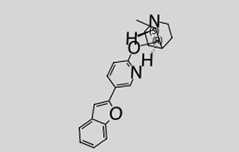 C[C@H]1[C@H](Oc2ccc(-c3cc4ccccc4o3)cn2)C2CCN1CC2